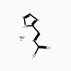 O=C([O-])C=Cc1ccco1.[Na+]